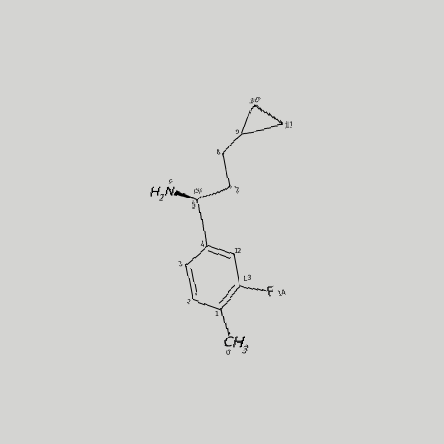 Cc1ccc([C@@H](N)CCC2CC2)cc1F